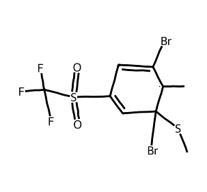 CSC1(Br)C=C(S(=O)(=O)C(F)(F)F)C=C(Br)[C]1C